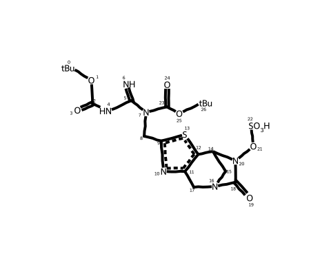 CC(C)(C)OC(=O)NC(=N)N(Cc1nc2c(s1)C1CN(C2)C(=O)N1OS(=O)(=O)O)C(=O)OC(C)(C)C